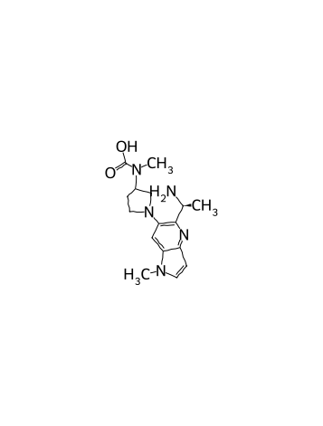 C[C@H](N)c1nc2ccn(C)c2cc1N1CCC(N(C)C(=O)O)C1